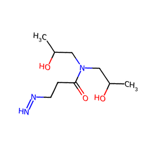 CC(O)CN(CC(C)O)C(=O)CCN=N